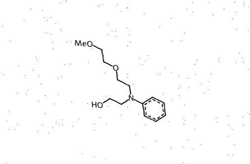 COCCOCCN(CCO)c1ccccc1